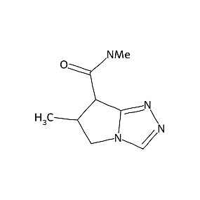 CNC(=O)C1c2nncn2CC1C